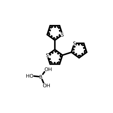 OB(O)O.c1csc(-c2ccsc2-c2cccs2)c1